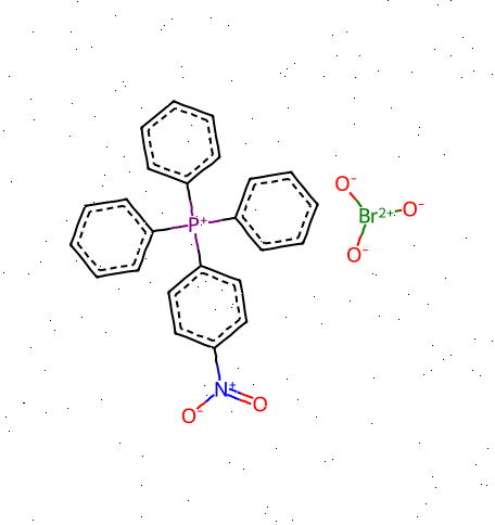 O=[N+]([O-])c1ccc([P+](c2ccccc2)(c2ccccc2)c2ccccc2)cc1.[O-][Br+2]([O-])[O-]